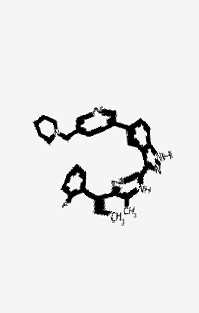 C/C=C(/c1ccccc1F)c1nc(-c2n[nH]c3ccc(-c4cncc(CN5CCCCC5)c4)cc23)[nH]c1C